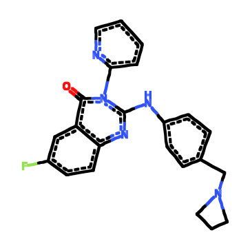 O=c1c2cc(F)ccc2nc(Nc2ccc(CN3CCC3)cc2)n1-c1ccccn1